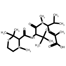 C/C(=C\C(C(C)C)N(C)C(=O)C(NC(=O)C1N(C)CCSC1(C)C)C(C)(C)C)C(=O)O